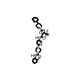 O=C(Nc1ccc(N2CCN(C(=O)Nc3ccccc3F)CC2)nc1)c1oc(N2CCC(c3ccccc3)CC2)nc1C(F)(F)F